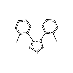 Fc1ccccc1-n1nnnc1-c1ccccc1I